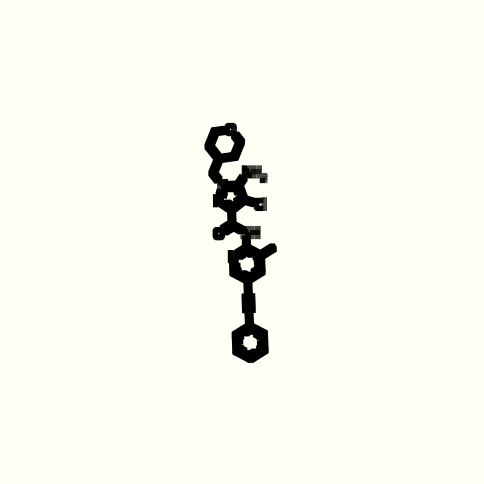 Cc1cc(C#Cc2ccccc2)cnc1NC(=O)c1nn(CC2CCOCC2)c(N)c1Cl